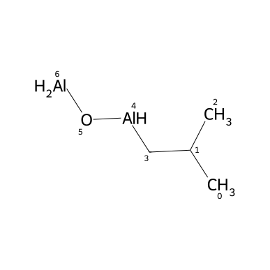 CC(C)[CH2][AlH][O][AlH2]